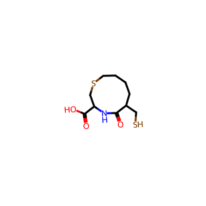 O=C1NC(C(=O)O)CSCCCCC1CS